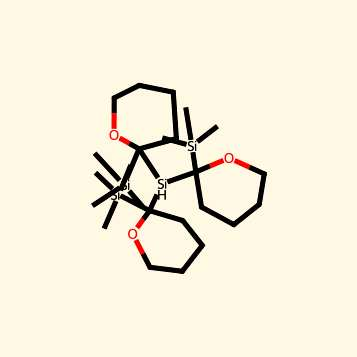 C[Si](C)(C)C1([SiH](C2([Si](C)(C)C)CCCCO2)C2([Si](C)(C)C)CCCCO2)CCCCO1